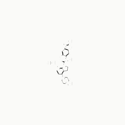 Cc1nc2cc(F)c(NC(=O)N3CCc4c(N5CCNCC5)ccnc43)cc2o1.Cl